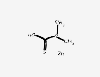 CN(C)C(O)=S.[Zn]